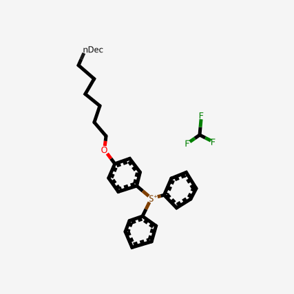 CCCCCCCCCCCCCCCCOc1ccc([S+](c2ccccc2)c2ccccc2)cc1.FC(F)F